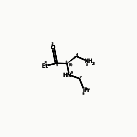 CCC(=O)[C@H](CN)NCC(C)C